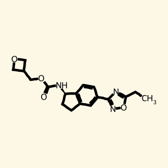 CCc1nc(-c2ccc3c(c2)CC[C@H]3NC(=O)OCC2COC2)no1